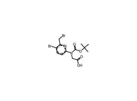 CC(C)(C)OC(=O)N(CC(=O)O)c1ccc(Br)c(CBr)n1